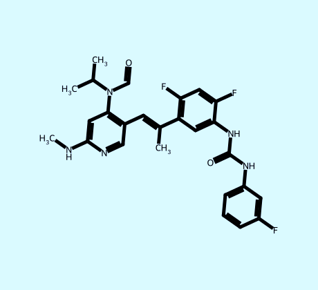 CNc1cc(N(C=O)C(C)C)c(/C=C(\C)c2cc(NC(=O)Nc3cccc(F)c3)c(F)cc2F)cn1